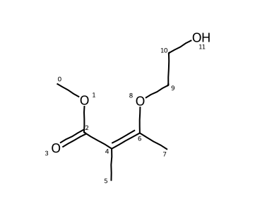 COC(=O)C(C)=C(C)OCCO